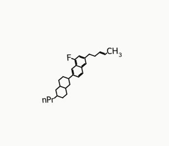 CC=CCCc1cc(F)c2cc(C3CCC4CC(CCC)CCC4C3)ccc2c1